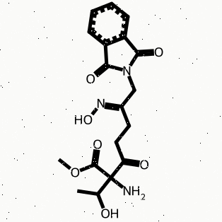 COC(=O)C(N)(C(=O)CCC(CN1C(=O)c2ccccc2C1=O)=NO)C(C)O